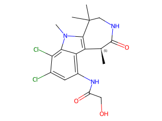 C[C@@H]1C(=O)NCC(C)(C)c2c1c1c(NC(=O)CO)cc(Cl)c(Cl)c1n2C